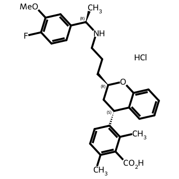 COc1cc([C@@H](C)NCCC[C@@H]2C[C@@H](c3ccc(C)c(C(=O)O)c3C)c3ccccc3O2)ccc1F.Cl